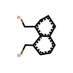 BrCc1cccc2cccc(CBr)c12